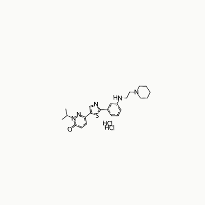 CC(C)n1nc(-c2cnc(-c3cccc(NCCN4CCCCC4)c3)s2)ccc1=O.Cl.Cl